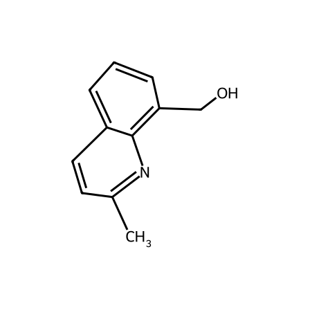 Cc1ccc2cccc(CO)c2n1